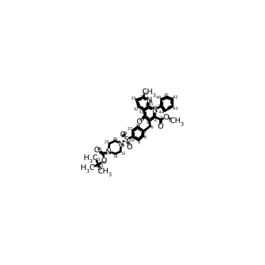 COC(=O)c1c(Cc2ccc(S(=O)(=O)N3CCN(C(=O)OC(C)(C)C)CC3)cc2)c(=O)c2ccc(C)nc2n1-c1ccccc1